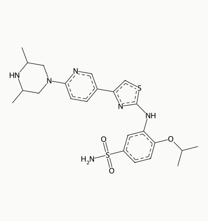 CC1CN(c2ccc(-c3csc(Nc4cc(S(N)(=O)=O)ccc4OC(C)C)n3)cn2)CC(C)N1